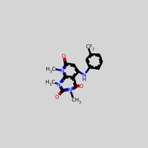 Cn1c(=O)c2c(Nc3cccc(C(F)(F)F)c3)cc(=O)n(C)c2n(C)c1=O